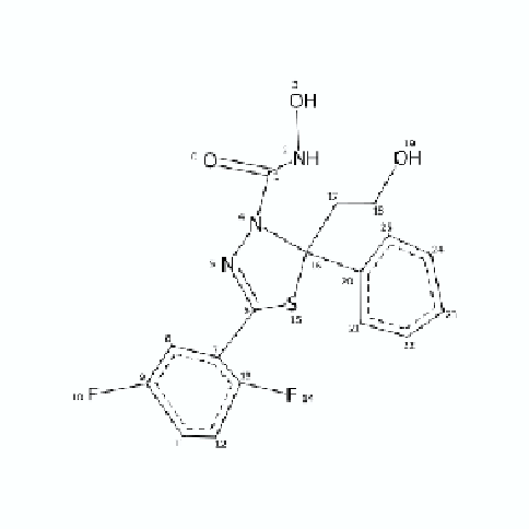 O=C(NO)N1N=C(c2cc(F)ccc2F)SC1(CCO)c1ccccc1